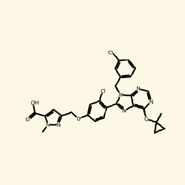 Cn1nc(COc2ccc(-c3nc4c(OC5(C)CC5)ncnc4n3Cc3cccc(Cl)c3)c(Cl)c2)cc1C(=O)O